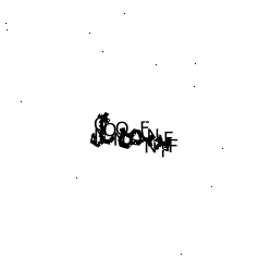 CC(C)(C)OC(=O)N1CCCC1CCn1ccc2cc(-c3ncc(C(F)(F)F)cn3)c(F)cc2c1=O